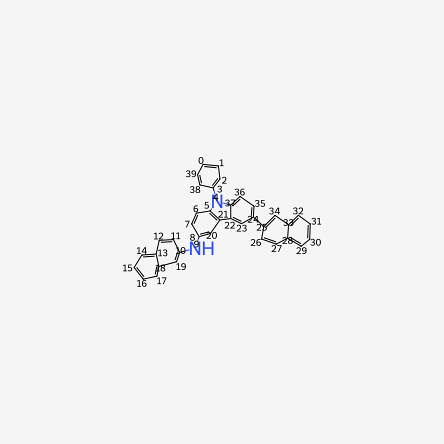 c1ccc(-n2c3ccc(Nc4ccc5ccccc5c4)cc3c3cc(-c4ccc5ccccc5c4)ccc32)cc1